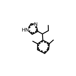 CCC(c1c[nH]cn1)c1c(C)cccc1C